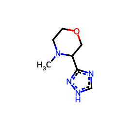 CN1CCOCC1c1nc[nH]n1